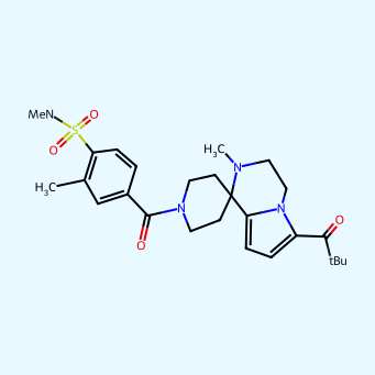 CNS(=O)(=O)c1ccc(C(=O)N2CCC3(CC2)c2ccc(C(=O)C(C)(C)C)n2CCN3C)cc1C